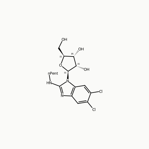 CCCCCNc1nc2cc(Cl)c(Cl)cc2n1[C@H]1O[C@@H](CO)[C@H](O)[C@@H]1O